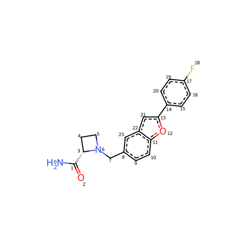 NC(=O)[C@@H]1CCN1Cc1ccc2oc(-c3ccc(F)cc3)cc2c1